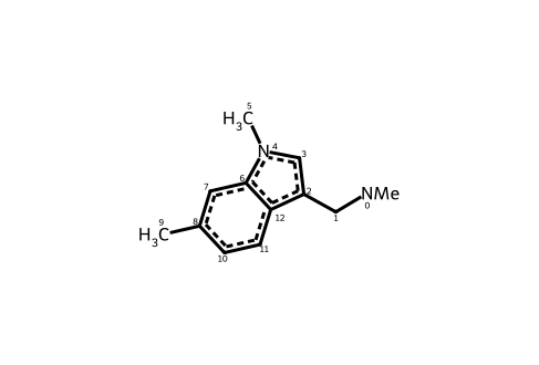 CNCc1cn(C)c2cc(C)ccc12